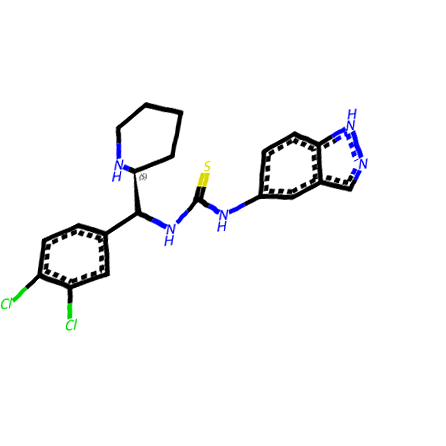 S=C(Nc1ccc2[nH]ncc2c1)NC(c1ccc(Cl)c(Cl)c1)[C@@H]1CCCCN1